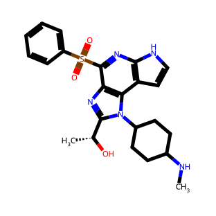 CNC1CCC(n2c([C@@H](C)O)nc3c(S(=O)(=O)c4ccccc4)nc4[nH]ccc4c32)CC1